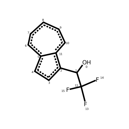 OC(c1ccc2cccccc1-2)C(F)(F)F